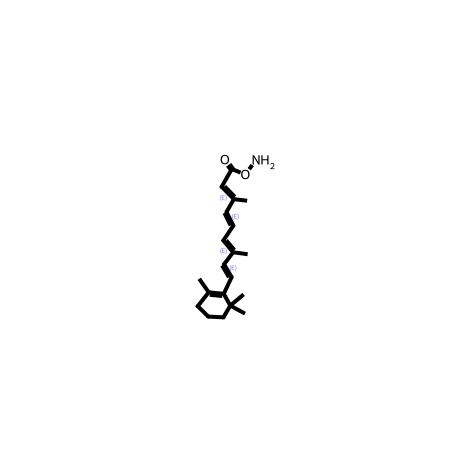 CC1=C(/C=C/C(C)=C/C=C/C(C)=C/C(=O)ON)C(C)(C)CCC1